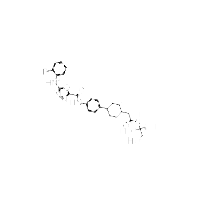 CC(C)(CO)NC(=O)CC1CCC(c2ccc(NC(=O)c3nnc(Nc4ccccc4F)o3)cc2)CC1